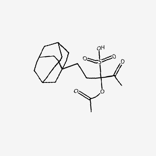 CC(=O)OC(CCC12CC3CC(CC(C3)C1)C2)(C(C)=O)S(=O)(=O)O